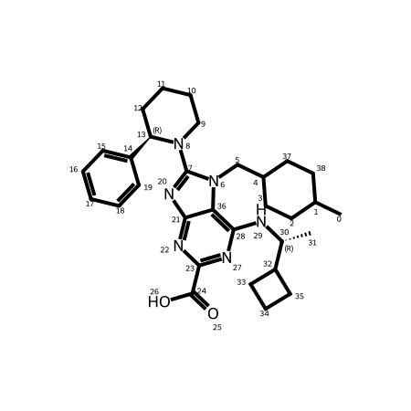 CC1CCC(Cn2c(N3CCCC[C@@H]3c3ccccc3)nc3nc(C(=O)O)nc(N[C@H](C)C4CCC4)c32)CC1